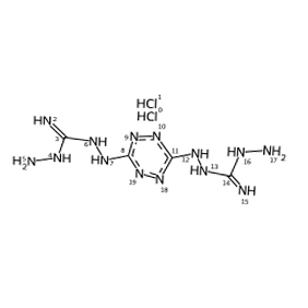 Cl.Cl.N=C(NN)NNc1nnc(NNC(=N)NN)nn1